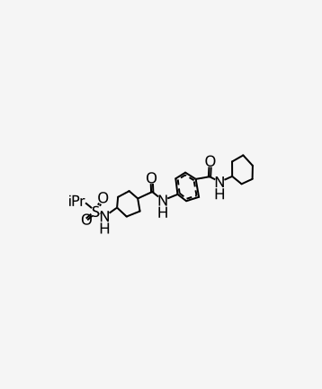 CC(C)S(=O)(=O)NC1CCC(C(=O)Nc2ccc(C(=O)NC3CCCCC3)cc2)CC1